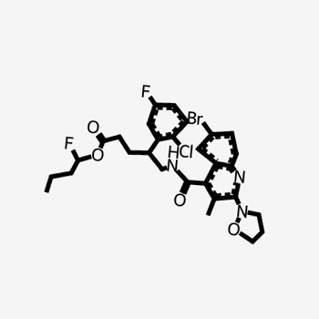 CCCC(F)OC(=O)CCC(CNC(=O)c1c(C)c(N2CCCO2)nc2ccc(Br)cc12)c1cc(F)ccc1Cl